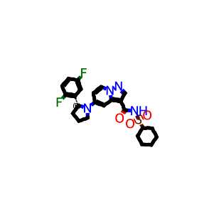 O=C(NS(=O)(=O)C1CCCCC1)c1cnn2ccc(N3CCC[C@@H]3c3cc(F)ccc3F)cc12